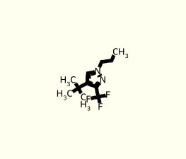 CCCn1cc(C(C)(C)C)c(C(F)(F)F)n1